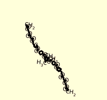 C=CC(=O)OCCOC(=O)CCC(=O)OCCc1ccc(OC(=O)[C@H]2CC[C@H](C(=O)Oc3cc(C)c(OC(=O)[C@H]4CC[C@H](C(=O)Oc5ccc(CCOC(=O)CCC(=O)OCCOC(=O)C=C)cc5)CC4)c(C)c3C)CC2)cc1